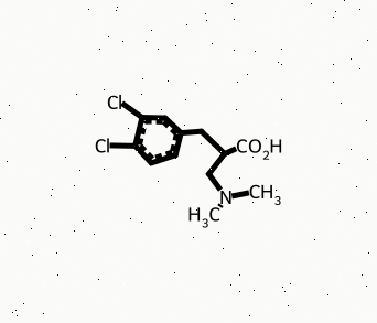 CN(C)CC(Cc1ccc(Cl)c(Cl)c1)C(=O)O